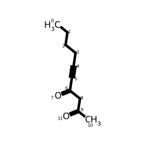 CCCCC#CC(=O)CC(C)=O